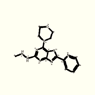 CNNc1nc(N2CCOCC2)c2sc(-c3ccccn3)nc2n1